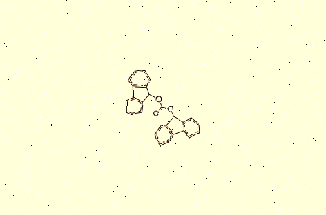 O=C(OC1c2ccccc2-c2ccccc21)OC1c2ccccc2-c2ccccc21